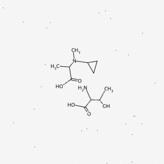 CC(C(=O)O)N(C)C1CC1.CC(O)C(N)C(=O)O